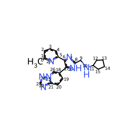 Cc1cccc(-c2nc(CNC3CCCC3)[nH]c2-c2ccc3ncnn3c2)n1